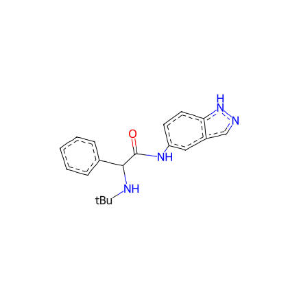 CC(C)(C)NC(C(=O)Nc1ccc2[nH]ncc2c1)c1ccccc1